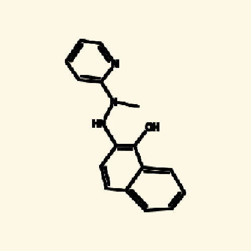 CN(Nc1ccc2ccccc2c1O)c1ccccn1